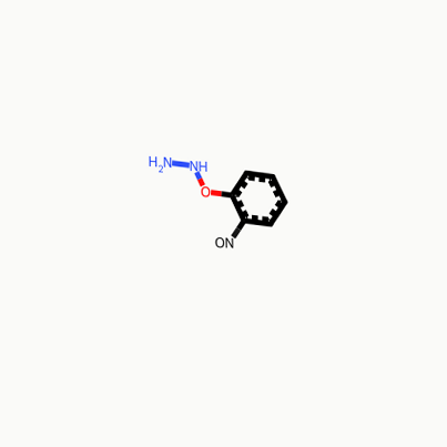 NNOc1ccccc1N=O